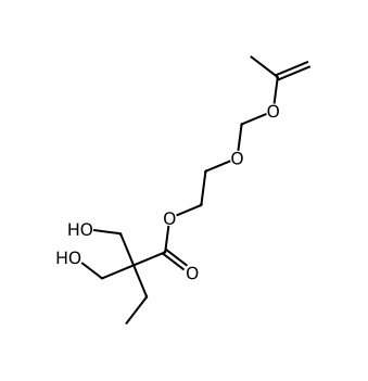 C=C(C)OCOCCOC(=O)C(CC)(CO)CO